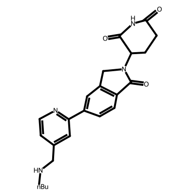 CCCCNCc1ccnc(-c2ccc3c(c2)CN(C2CCC(=O)NC2=O)C3=O)c1